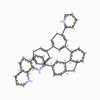 C1=CCC=C(C2=CCC(c3ccccn3)=CC(c3cccc4c3-c3cc(-c5ccc6ccc7cccnc7c6n5)ccc3C4)=C2)C=C1